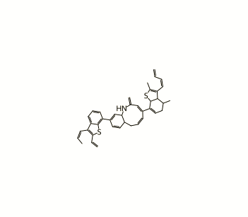 C=C/C=C\C1=C(C)SC2C(C3=C/C(=C)NC4C=C(c5cccc6c(/C=C\C)c(C=C)sc56)C=CC4C/C=C\3)=CCC(C)C12